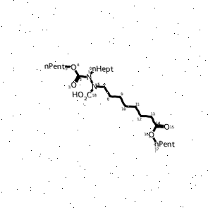 CCCCCCCN(C(=O)OCCCCC)N(CCCCCCCC(=O)OCCCCC)C(=O)O